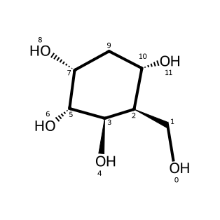 OC[C@H]1[C@@H](O)[C@H](O)[C@H](O)C[C@@H]1O